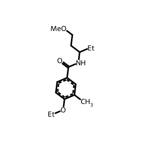 CCOc1ccc(C(=O)NC(CC)CCOC)cc1C